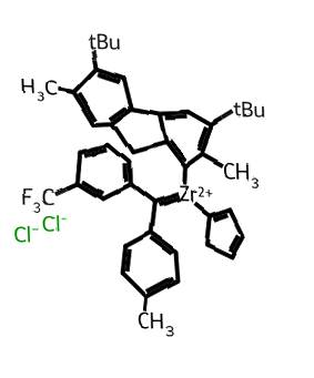 Cc1ccc(/[C](c2cccc(C(F)(F)F)c2)=[Zr+2](\[C]2=CC=CC2)[c]2c(C)c(C(C)(C)C)cc3c2Cc2cc(C)c(C(C)(C)C)cc2-3)cc1.[Cl-].[Cl-]